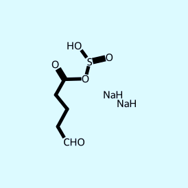 O=CCCCC(=O)OS(=O)O.[NaH].[NaH]